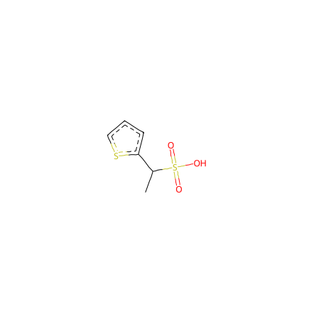 CC(c1cccs1)S(=O)(=O)O